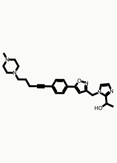 CC(O)c1nccn1Cc1cc(-c2ccc(C#CCCCN3CCN(C)CC3)cc2)on1